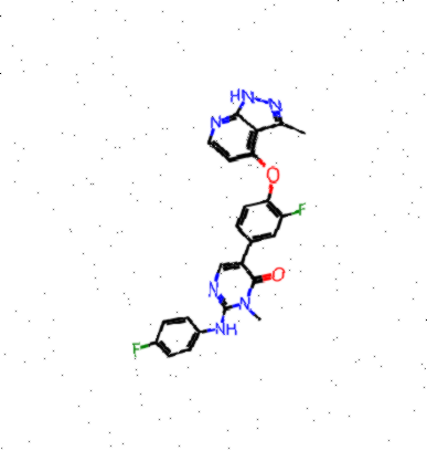 Cc1n[nH]c2nccc(Oc3ccc(-c4cnc(Nc5ccc(F)cc5)n(C)c4=O)cc3F)c12